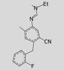 CCN(C)C=Nc1cc(C#N)c(Cc2ccccc2F)cc1C